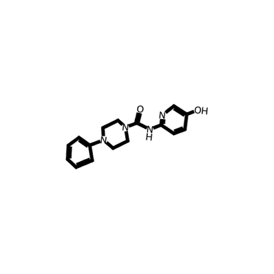 O=C(Nc1ccc(O)cn1)N1CCN(c2ccccc2)CC1